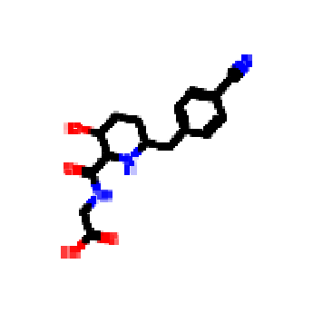 N#Cc1ccc(CC2CCC(O)C(C(=O)NCC(=O)O)N2)cc1